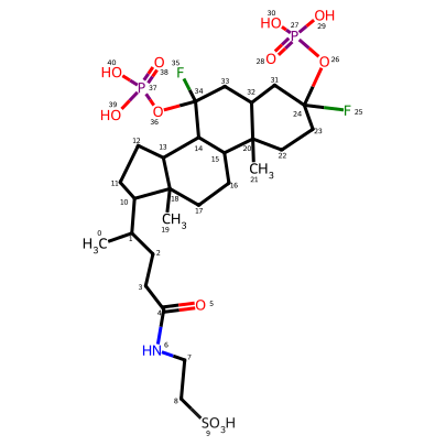 CC(CCC(=O)NCCS(=O)(=O)O)C1CCC2C3C(CCC12C)C1(C)CCC(F)(OP(=O)(O)O)CC1CC3(F)OP(=O)(O)O